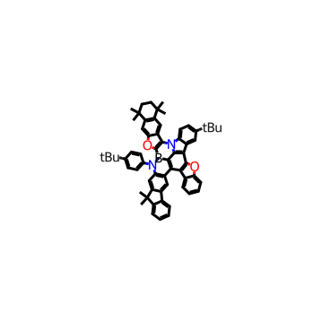 CC(C)(C)c1ccc(N2B3c4oc5cc6c(cc5c4-n4c5ccc(C(C)(C)C)cc5c5c7oc8ccccc8c7c(c3c54)-c3cc4c(cc32)C(C)(C)c2ccccc2-4)C(C)(C)CCC6(C)C)cc1